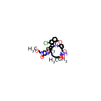 COCCN1CCN(C[C@]2(OC)/C=C/C[C@H](C)[C@@H](C)S(=O)(=O)NC(=O)c3ccc4c(c3)N(C[C@@H]3CC[C@H]32)C[C@@]2(CCCc3cc(Cl)ccc32)CO4)CC1=O